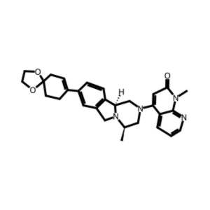 C[C@@H]1CN(c2cc(=O)n(C)c3ncccc23)C[C@@H]2c3ccc(C4=CCC5(CC4)OCCO5)cc3CN12